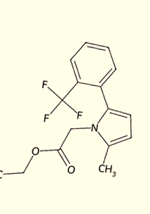 CCOC(=O)Cn1c(C)ccc1-c1ccccc1C(F)(F)F